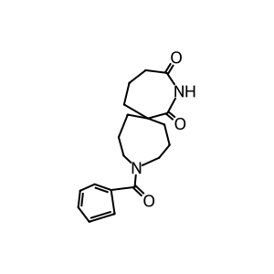 O=C1CCCC2(CCCN(C(=O)c3ccccc3)CCC2)C(=O)N1